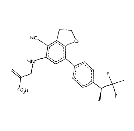 C=C(CNc1cc(-c2ccc([C@H](C)C(C)(F)F)cc2)c2c(c1C#N)CCO2)C(=O)O